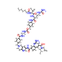 CCCCCCC(=O)NC(C(=O)NC(CCCNC(N)=O)C(=O)Nc1ccc(COC(=O)NCCNC(=O)c2ccc(CN3CCc4ncc(NC(=O)c5ccc6c(c5)N=C(N)CC(C(O)N(CCC)CCC)=C6)cc4C3)cc2)cc1)C(C)C